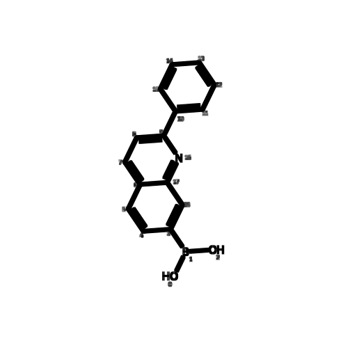 OB(O)c1ccc2ccc(-c3ccccc3)nc2c1